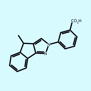 CC1c2ccccc2-c2nn(-c3cccc(C(=O)O)c3)cc21